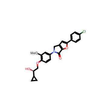 COc1cc(N2Cc3cc(-c4ccc(Cl)cc4)oc3C2=O)ccc1OC[C@H](O)C1CC1